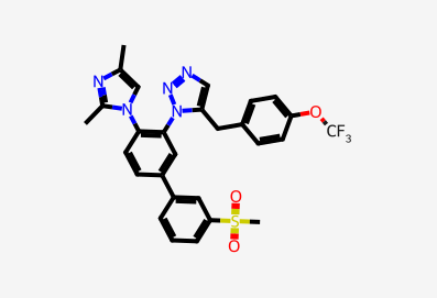 Cc1cn(-c2ccc(-c3cccc(S(C)(=O)=O)c3)cc2-n2nncc2Cc2ccc(OC(F)(F)F)cc2)c(C)n1